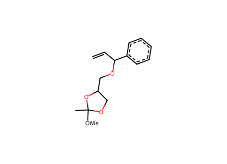 C=CC(OCC1COC(C)(OC)O1)c1ccccc1